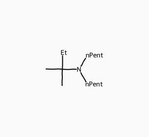 CCCCCN(CCCCC)C(C)(C)CC